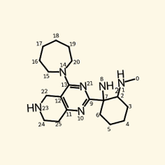 CNC1CCCCC1(N)c1nc2c(c(N3CCCCCC3)n1)CNCC2